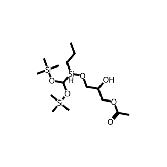 CCC[SiH](OCC(O)COC(C)=O)C(O[Si](C)(C)C)O[Si](C)(C)C